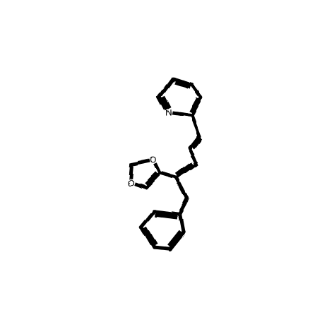 C(=Cc1ccccn1)C=C(Cc1ccccc1)C1=COCO1